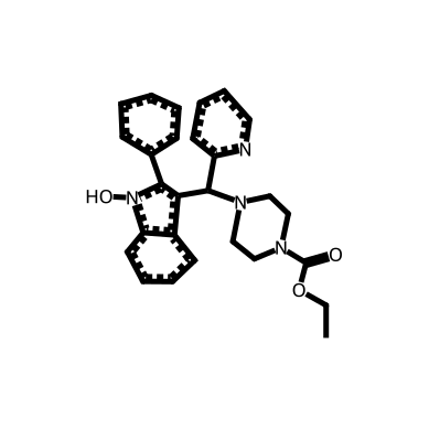 CCOC(=O)N1CCN(C(c2ccccn2)c2c(-c3ccccc3)n(O)c3ccccc23)CC1